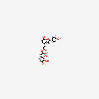 O=C(C=Cc1ccc(O)c2oc(-c3ccc(O)c(O)c3)cc12)OC(Cc1ccc(O)c(O)c1)C(=O)O